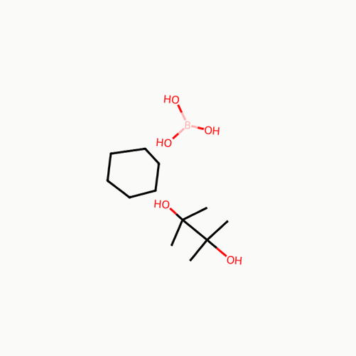 C1CCCCC1.CC(C)(O)C(C)(C)O.OB(O)O